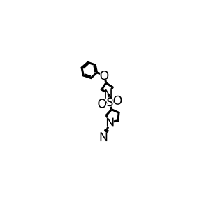 N#CN1CCC(S(=O)(=O)N2CC(Oc3ccccc3)C2)C1